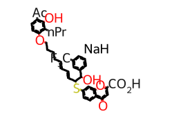 CCCc1c(OCCCCC=CC=C[C@H](Sc2ccc3c(=O)cc(C(=O)O)oc3c2)[C@H](O)c2cccc(C(F)(F)F)c2)ccc(C(C)=O)c1O.[NaH]